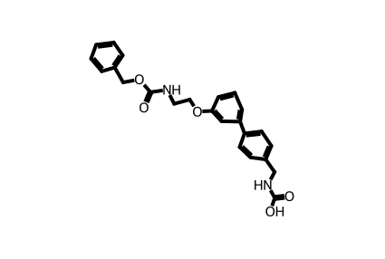 O=C(O)NCc1ccc(-c2cccc(OCCNC(=O)OCc3ccccc3)c2)cc1